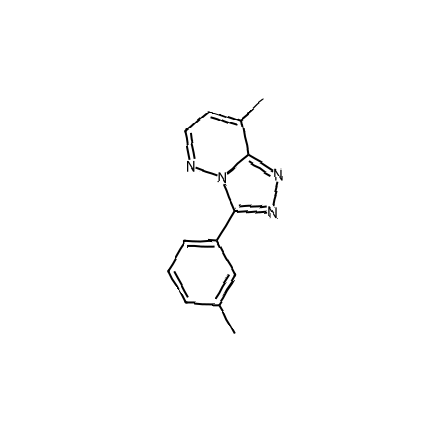 Cc1cccc(-c2nnc3c(C)ccnn23)c1